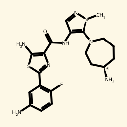 Cn1ncc(NC(=O)c2nc(-c3cc(N)ccc3F)sc2N)c1N1CCC[C@@H](N)CC1